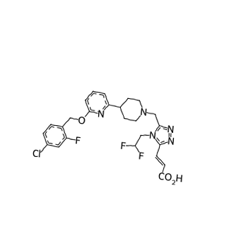 O=C(O)/C=C/c1nnc(CN2CCC(c3cccc(OCc4ccc(Cl)cc4F)n3)CC2)n1CC(F)F